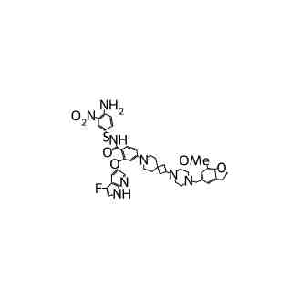 COc1cc(CN2CCN(C3CC4(CCN(c5ccc(C(=O)NSc6ccc(N)c([N+](=O)[O-])c6)c(Oc6cnc7[nH]cc(F)c7c6)c5)CC4)C3)CC2)cc2c1OCC2